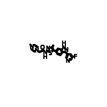 Cc1nc(NC(=O)CN2CCN(C)CC2)sc1-c1ccc2c(-c3cncc(F)c3)n[nH]c2c1